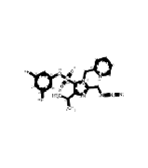 CC(C)c1nc(CN=[N+]=[N-])n(Cc2ccccn2)c1S(=O)(=O)Oc1cc(F)cc(F)c1